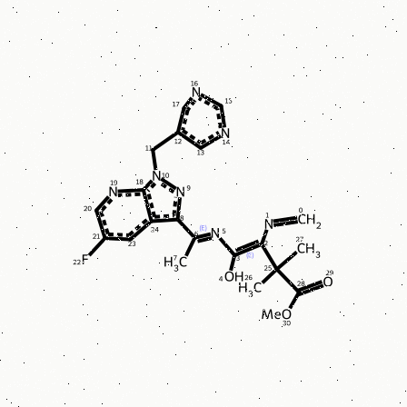 C=N/C(=C(O)\N=C(/C)c1nn(Cc2cncnc2)c2ncc(F)cc12)C(C)(C)C(=O)OC